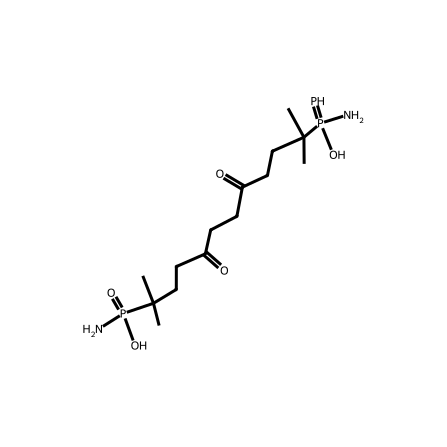 CC(C)(CCC(=O)CCC(=O)CCC(C)(C)P(N)(O)=P)P(N)(=O)O